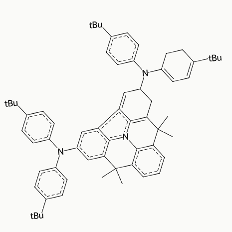 CC(C)(C)C1=CC=C(N(c2ccc(C(C)(C)C)cc2)C2C=c3c4n5c6c(cc(N(c7ccc(C(C)(C)C)cc7)c7ccc(C(C)(C)C)cc7)cc36)C(C)(C)c3cccc(c3-5)C(C)(C)C=4C2)CC1